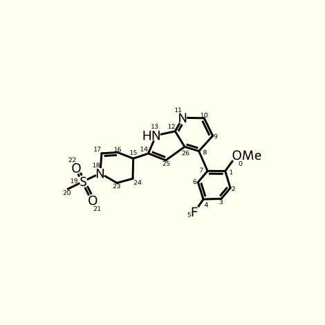 COc1ccc(F)cc1-c1ccnc2[nH]c(C3C=CN(S(C)(=O)=O)CC3)cc12